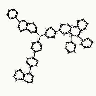 c1ccc(-c2ccc3cc(N(c4ccc(-c5ccc(-c6cccc7ccccc67)cc5)cc4)c4ccc(-c5ccc6c(c5)c(-c5ccccc5)c(-c5ccccc5)c5ccccc56)cc4)ccc3c2)cc1